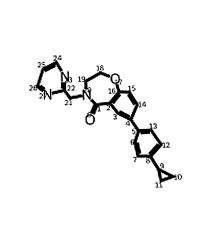 O=C1c2cc(-c3ccc(C4CC4)cc3)ccc2OCCN1Cc1ncccn1